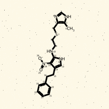 Cc1[nH]cnc1CSCCNc1[nH]cc(CCc2ccccc2)c1[N+](=O)[O-]